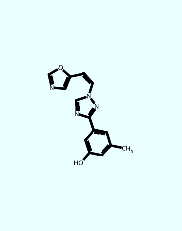 Cc1cc(O)cc(-c2ncn(/C=C\c3cnco3)n2)c1